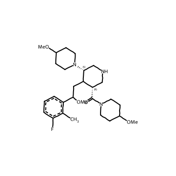 COC1CCN(C(=O)[C@H]2CNC[C@@H](N3CCC(OC)CC3)C2CC(OC)c2cccc(F)c2C)CC1